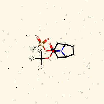 CCC(C)(C)OC(=O)N1C2CCC1CC(OS(C)(=O)=O)C2